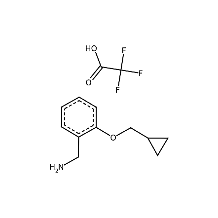 NCc1ccccc1OCC1CC1.O=C(O)C(F)(F)F